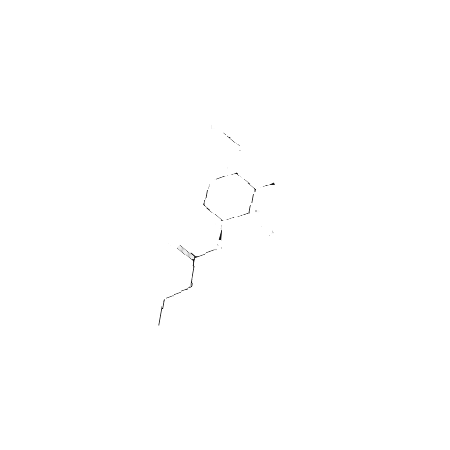 CCCC(=O)N[C@H]1CO[C@H](CO)[C@@H](O)[C@@H]1O